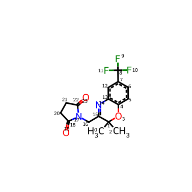 CC1(C)Oc2ccc(C(F)(F)F)cc2N=C1CN1C(=O)CCC1=O